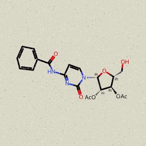 CC(=O)O[C@H]1[C@H](OC(C)=O)[C@@H](CO)O[C@H]1n1ccc(NC(=O)c2ccccc2)nc1=O